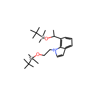 CC(O[Si](C)(C)C(C)(C)C)c1cccc2ccn(CCO[Si](C)(C)C(C)(C)C)c12